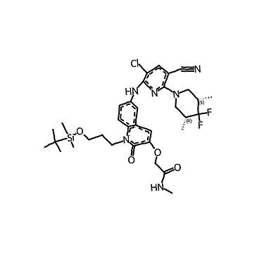 CNC(=O)COc1cc2cc(Nc3nc(N4C[C@@H](C)C(F)(F)[C@@H](C)C4)c(C#N)cc3Cl)ccc2n(CCCO[Si](C)(C)C(C)(C)C)c1=O